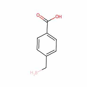 BCc1ccc(C(=O)O)cc1